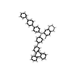 Cc1cc2c(cc1N(c1ccc(-c3ccc(-c4ccccc4)cc3)cc1)c1ccc(-c3ccc4c5ccccc5c5ccccc5c4c3)cc1)CCCC2